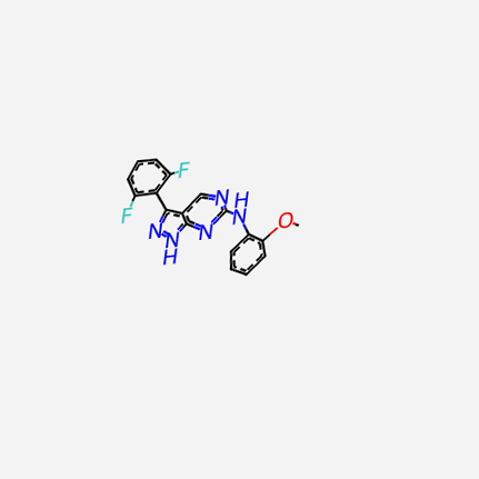 COc1ccccc1Nc1ncc2c(-c3c(F)cccc3F)n[nH]c2n1